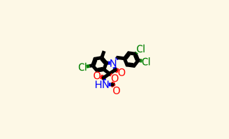 Cc1cc(Cl)cc2c1N(Cc1ccc(Cl)c(Cl)c1)C(=O)C21OC(=O)NC1=O